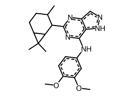 COc1ccc(Nc2nc(C3C(C)CCC4C3C4(C)C)nc3cn[nH]c23)cc1OC